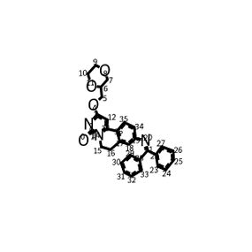 O=c1nc(OCC2COCCO2)cc2n1CCc1cc(N=C(c3ccccc3)c3ccccc3)ccc1-2